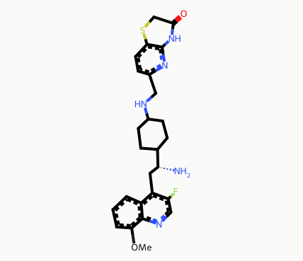 COc1cccc2c(C[C@@H](N)C3CCC(NCc4ccc5c(n4)NC(=O)CS5)CC3)c(F)cnc12